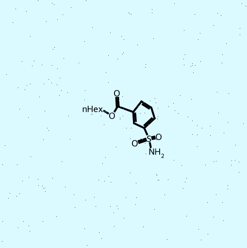 CCCCCCOC(=O)c1cccc(S(N)(=O)=O)c1